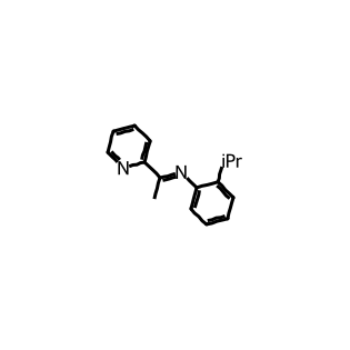 C/C(=N\c1ccccc1C(C)C)c1ccccn1